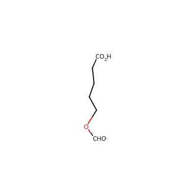 O=[C]OCCCCC(=O)O